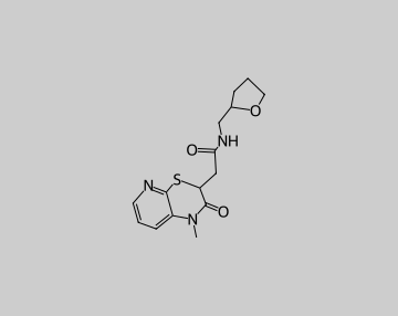 CN1C(=O)C(CC(=O)NCC2CCCO2)Sc2ncccc21